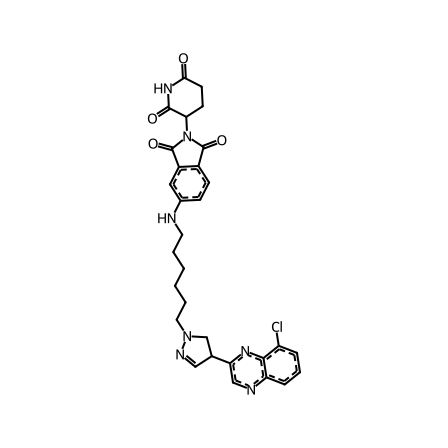 O=C1CCC(N2C(=O)c3ccc(NCCCCCCN4CC(c5cnc6cccc(Cl)c6n5)C=N4)cc3C2=O)C(=O)N1